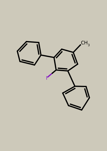 Cc1cc(-c2ccccc2)c(I)c(-c2ccccc2)c1